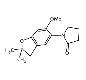 COc1cc2c(cc1N1CC[CH]C1=O)CC(C)(C)O2